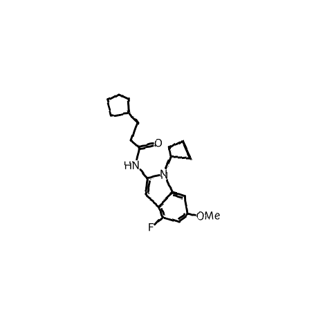 COc1cc(F)c2cc(NC(=O)CCC3CCCC3)n(C3CCC3)c2c1